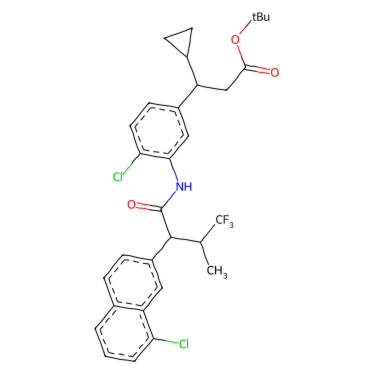 CC(C(C(=O)Nc1cc(C(CC(=O)OC(C)(C)C)C2CC2)ccc1Cl)c1ccc2cccc(Cl)c2c1)C(F)(F)F